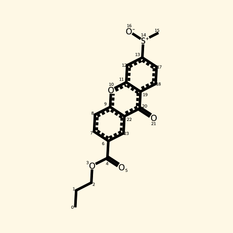 CCCOC(=O)c1ccc2oc3cc([S+](C)[O-])ccc3c(=O)c2c1